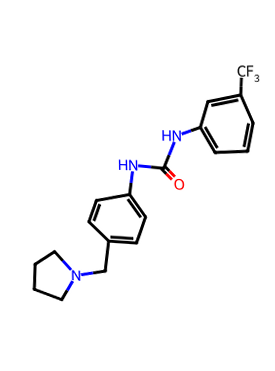 O=C(Nc1ccc(CN2CCCC2)cc1)Nc1cccc(C(F)(F)F)c1